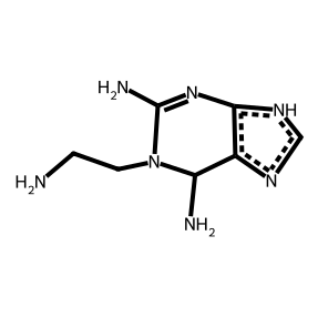 NCCN1C(N)=Nc2[nH]cnc2C1N